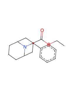 CCOC(=O)C1CC2CCCC(C1)N2Cc1ccccc1